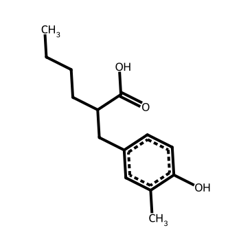 CCCCC(Cc1ccc(O)c(C)c1)C(=O)O